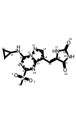 CS(=O)(=O)c1nc(NC2CC2)n2ncc(C=C3NC(=O)NC3=O)c2n1